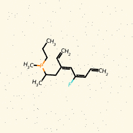 C=C/C=C(F)\C=C(\C=C)CC(C)P(C)CCC